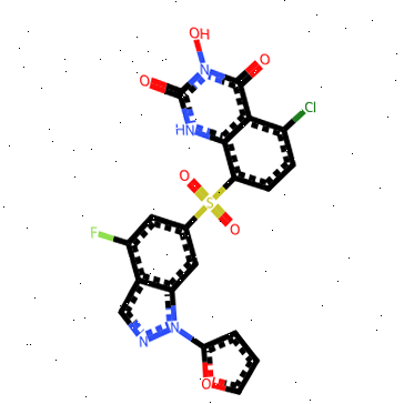 O=c1[nH]c2c(S(=O)(=O)c3cc(F)c4cnn(-c5ccco5)c4c3)ccc(Cl)c2c(=O)n1O